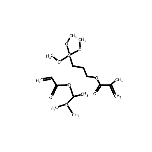 C=C(C)C(=O)OCCC[Si](OC)(OC)OC.C=CC(=O)OC(C)N(C)C